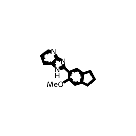 COc1cc2c(cc1-c1nc3ncccc3[nH]1)CCC2